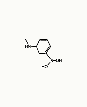 CNC1C=CC=C(B(O)O)C1